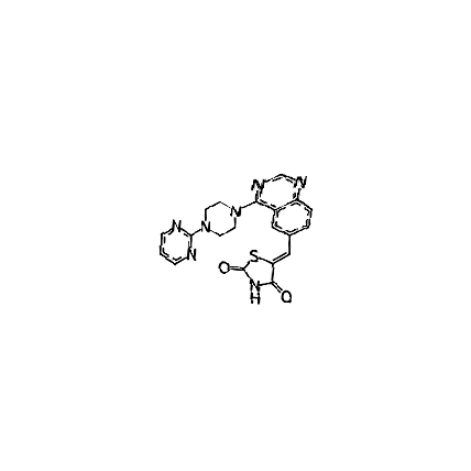 O=C1NC(=O)C(=Cc2ccc3ncnc(N4CCN(c5ncccn5)CC4)c3c2)S1